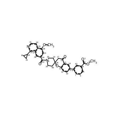 COC(=O)c1cccc(-c2ccc3c(c2)C(=O)CC2(CCN(C(=O)c4cc(OC)c5ccnc(C6CC6)c5c4)CC2)O3)c1